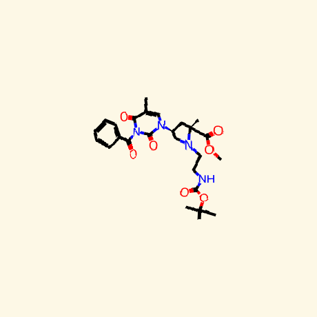 COC(=O)[C@@]1(C)C[C@H](n2cc(C)c(=O)n(C(=O)c3ccccc3)c2=O)CN1CCNC(=O)OC(C)(C)C